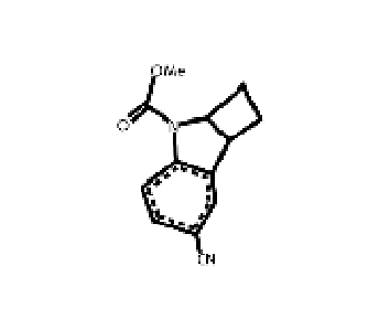 COC(=O)N1c2ccc(C#N)cc2C2CCC21